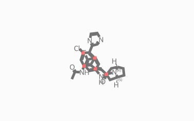 CC(=O)Nc1cc(Cl)c(-c2cnccn2)cc1C=CC(=O)N1[C@@H]2CC[C@H]1CC(Nc1ccc(F)cc1)C2